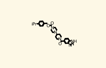 CC(C)c1ccc(COC(=O)N2CCN(C3CCN(C(=O)c4ccc5[nH]nnc5c4)CC3)CC2)cc1